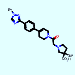 CSC1(C(=O)O)CCN(CC(=O)N2CC=C(c3ccc(-c4ncn(C(C)C)n4)cc3)CC2)C1